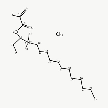 C=C(C)C(=O)OC(CC)[N+](C)(C)CCCCCCCCCCCC.[Cl-]